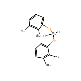 CC(C)(C)c1cccc([PH][Pd]([Cl])([Cl])[PH]c2cccc(C(C)(C)C)c2C(C)(C)C)c1C(C)(C)C